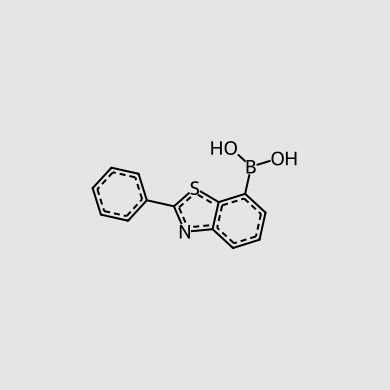 OB(O)c1cccc2nc(-c3ccccc3)sc12